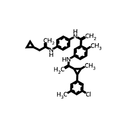 C=C(CC1CC1)Nc1ccc(NC(=C)c2cc(NC(=C)C3C(C)C3c3cc(C)cc(Cl)c3)ccc2C)cc1